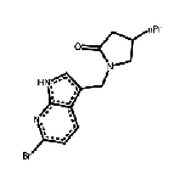 CCCC1CC(=O)N(Cc2c[nH]c3nc(Br)ccc23)C1